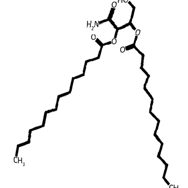 CCCCCCCCCCCCCC(=O)OC(CO)C(OC(=O)CCCCCCCCCCCCC)C(N)=O